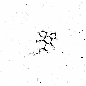 CCOC(=O)CNC(=O)C1=C(O)C2(CCCC2)n2cccc2C1=O